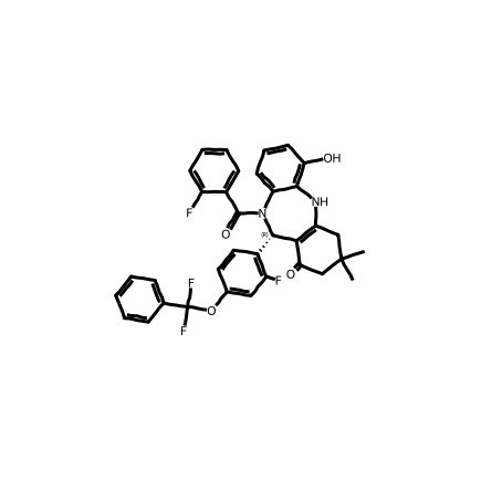 CC1(C)CC(=O)C2=C(C1)Nc1c(O)cccc1N(C(=O)c1ccccc1F)[C@H]2c1ccc(OC(F)(F)c2ccccc2)cc1F